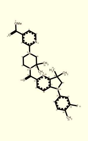 COC(=O)c1ccnc(N2CCN(C(=O)c3ccc4c(n3)C(C)(C)CN4c3ccc(C)c(F)c3)C(C)(C)C2)c1